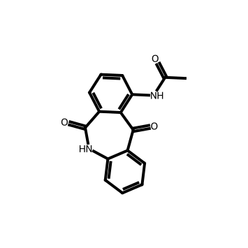 CC(=O)Nc1cccc2c(=O)[nH]c3ccccc3c(=O)c12